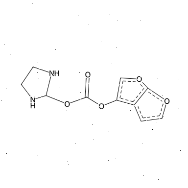 O=C(Oc1coc2occc12)OC1NCCN1